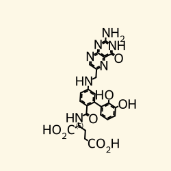 Nc1nc2ncc(CNc3ccc(C(=O)N[C@@H](CCC(=O)O)C(=O)O)c(-c4cccc(O)c4O)c3)nc2c(=O)[nH]1